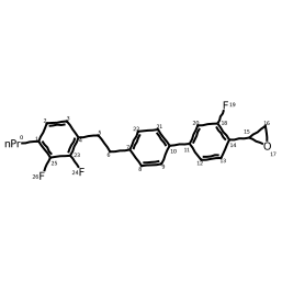 CCCc1ccc(CCc2ccc(-c3ccc(C4CO4)c(F)c3)cc2)c(F)c1F